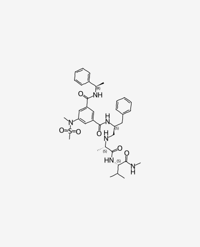 CNC(=O)[C@@H](NC(=O)[C@H](C)NC[C@H](Cc1ccccc1)NC(=O)c1cc(C(=O)N[C@H](C)c2ccccc2)cc(N(C)S(C)(=O)=O)c1)C(C)C